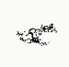 COCc1ccc(C[C@@H](Cl)B2OC3CC4CC(C4(C)C)[C@]3(C)O2)c(OC(=O)OC(C)(C)C)c1C(=O)OC